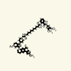 CC(=O)N1CCc2c(c(N3CCCc4cc(-c5cnn(C)c5)c(C(F)F)cc43)nn2C2CCN(CC(=O)NCCCCCCCCCC(=O)Nc3ccccc3C(=O)Nc3nc(C)c([N+](=O)[O-])s3)CC2)C1